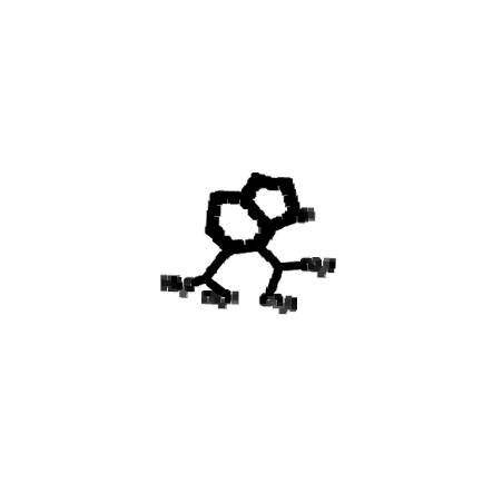 O=C(O)C(C(=O)O)c1ccc2cc[nH]c2c1C(C(=O)O)C(=O)O